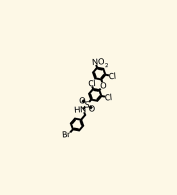 O=[N+]([O-])c1ccc(Oc2c(Cl)cc(S(=O)(=O)NCc3ccc(Br)cc3)cc2Cl)c(Cl)c1